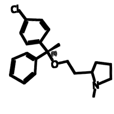 CN1CCCC1CCO[C@](C)(c1ccccc1)c1ccc(Cl)cc1